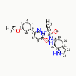 COc1cccc(-c2ccc(=O)n(C(C)C(=O)Nc3ccc4cc[nH]c4c3)n2)c1